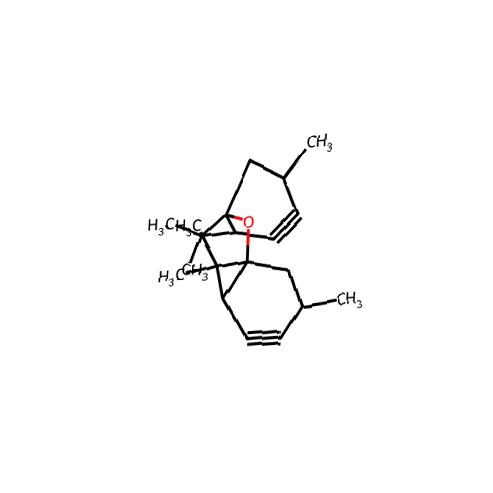 CC1C#CC2C(C)(C)C2(OC23CC(C)C#CC2C3(C)C)C1